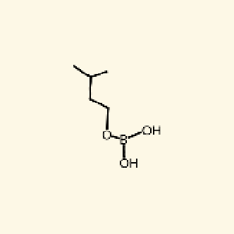 CC(C)CCOB(O)O